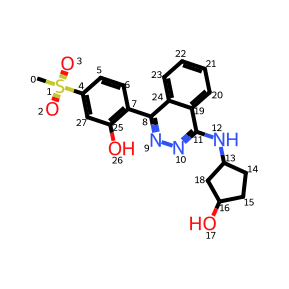 CS(=O)(=O)c1ccc(-c2nnc(NC3CCC(O)C3)c3ccccc23)c(O)c1